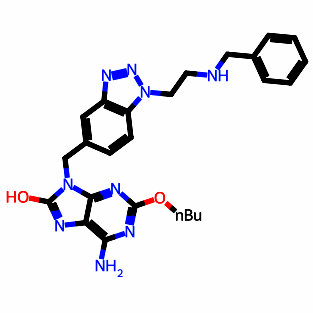 CCCCOc1nc(N)c2nc(O)n(Cc3ccc4c(c3)nnn4CCNCc3ccccc3)c2n1